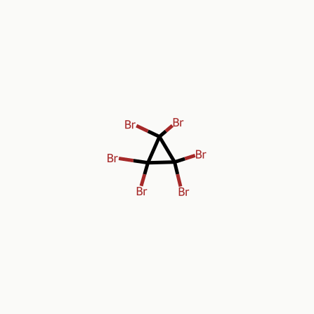 BrC1(Br)C(Br)(Br)C1(Br)Br